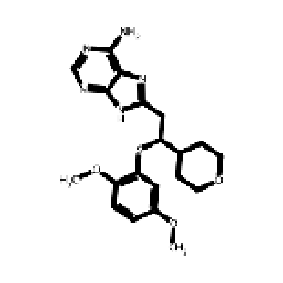 COc1ccc(OC)c(SC(Cc2nc3c(N)ncnc3[nH]2)C2CCOCC2)c1